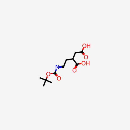 CC(C)(C)OC(=O)N=CCC(CC(=O)O)C(=O)O